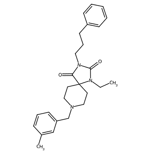 CCN1C(=O)N(CCCc2ccccc2)C(=O)C12CCN(Cc1cccc(C)c1)CC2